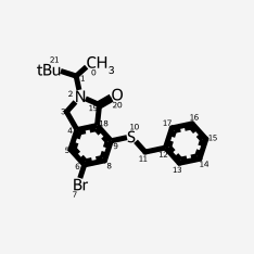 CC(N1Cc2cc(Br)cc(SCc3ccccc3)c2C1=O)C(C)(C)C